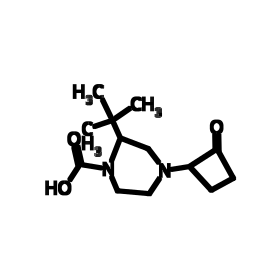 CC(C)(C)C1CN(C2CCC2=O)CCN1C(=O)O